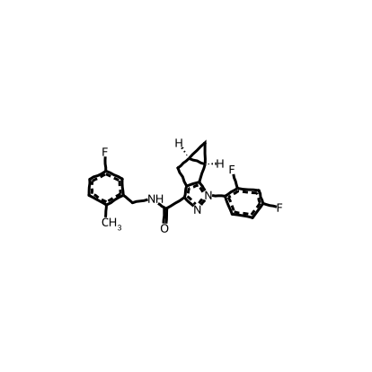 Cc1ccc(F)cc1CNC(=O)c1nn(-c2ccc(F)cc2F)c2c1C[C@H]1C[C@@H]21